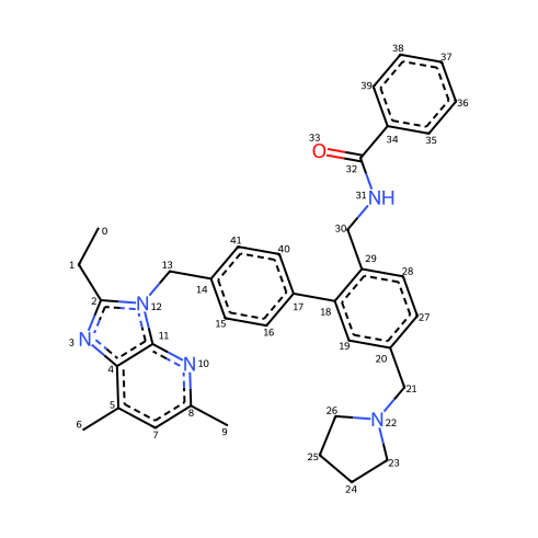 CCc1nc2c(C)cc(C)nc2n1Cc1ccc(-c2cc(CN3CCCC3)ccc2CNC(=O)c2ccccc2)cc1